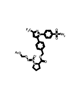 CC(=O)OCO/N=[N+](\[O-])N1CCCC1C(=O)OCc1ccc(-c2cc(C(F)(F)F)nn2-c2ccc(S(N)(=O)=O)cc2)cc1